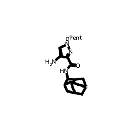 CCCCCn1cc(N)c(C(=O)NC2C3CC4CC(C3)CC2C4)n1